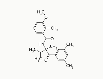 COc1cccc(C(=O)NC(C)(C(=O)c2cc(C)cc(C)c2)C(C)C)c1C